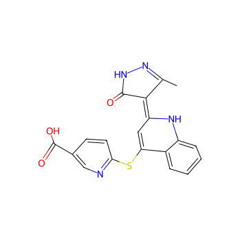 CC1=NNC(=O)C1=C1C=C(Sc2ccc(C(=O)O)cn2)c2ccccc2N1